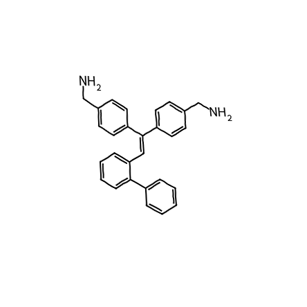 NCc1ccc(C(=Cc2ccccc2-c2ccccc2)c2ccc(CN)cc2)cc1